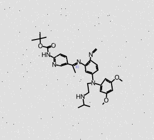 C=Nc1ccc(N(CCNC(C)C)c2cc(OC)cc(OC)c2)cc1/N=C(\C)c1ccc(NC(=O)OC(C)(C)C)nc1